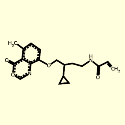 C=CC(=O)NCCC(COc1ccc(C)c2c(=O)ocnc12)C1CC1